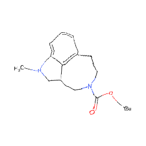 CN1CC2CN(C(=O)OC(C)(C)C)CCc3cccc1c32